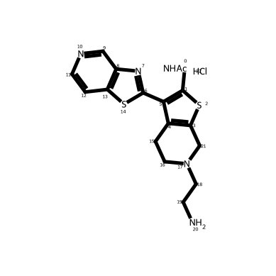 CC(=O)Nc1sc2c(c1-c1nc3cnccc3s1)CCN(CCN)C2.Cl